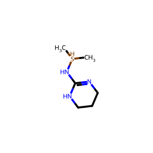 C[SH](C)NC1=NCCCN1